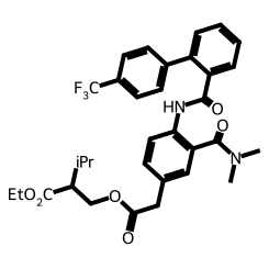 CCOC(=O)C(COC(=O)Cc1ccc(NC(=O)c2ccccc2-c2ccc(C(F)(F)F)cc2)c(C(=O)N(C)C)c1)C(C)C